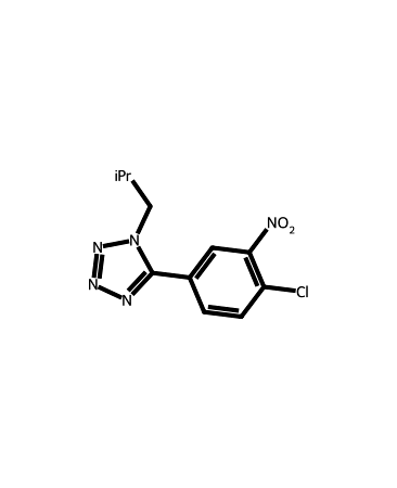 CC(C)Cn1nnnc1-c1ccc(Cl)c([N+](=O)[O-])c1